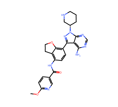 COc1ccc(C(=O)Nc2ccc(-c3nn([C@@H]4CCCNC4)c4ncnc(N)c34)c3c2CCO3)cn1